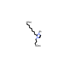 CCCCCCCCCCCCCCCCCC1N(CCCCCCCCCCCCC)C=CN1C(C)C